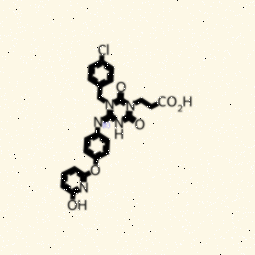 O=C(O)CCn1c(=O)[nH]/c(=N\c2ccc(Oc3cccc(O)n3)cc2)n(Cc2ccc(Cl)cc2)c1=O